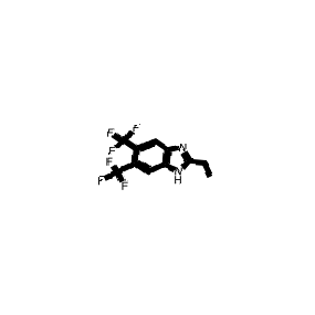 CCc1nc2cc(C(F)(F)F)c(C(F)(F)F)cc2[nH]1